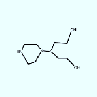 OCCN(CCO)N1CCNCC1